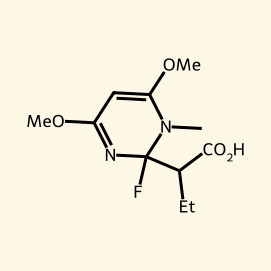 CCC(C(=O)O)C1(F)N=C(OC)C=C(OC)N1C